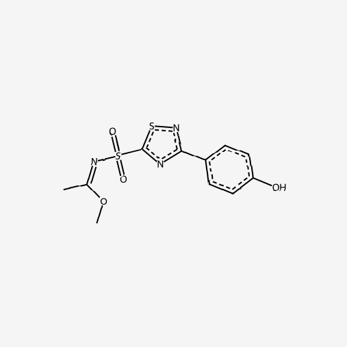 COC(C)=NS(=O)(=O)c1nc(-c2ccc(O)cc2)ns1